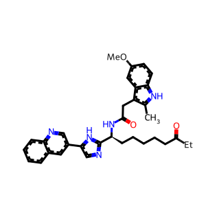 CCC(=O)CCCCC[C@H](NC(=O)Cc1c(C)[nH]c2ccc(OC)cc12)c1ncc(-c2cnc3ccccc3c2)[nH]1